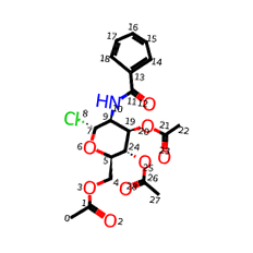 CC(=O)OC[C@H]1O[C@H](Cl)[C@@H](NC(=O)c2ccccc2)[C@@H](OC(C)=O)[C@@H]1OC(C)=O